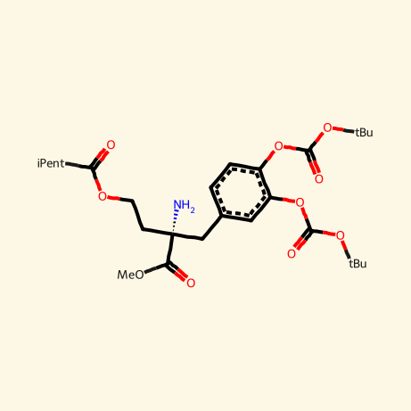 CCCC(C)C(=O)OCC[C@@](N)(Cc1ccc(OC(=O)OC(C)(C)C)c(OC(=O)OC(C)(C)C)c1)C(=O)OC